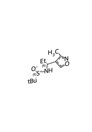 CC[C@@H](N[S@@+]([O-])C(C)(C)C)c1conc1C